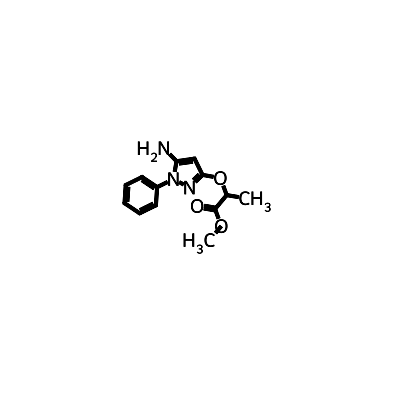 COC(=O)C(C)Oc1cc(N)n(-c2ccccc2)n1